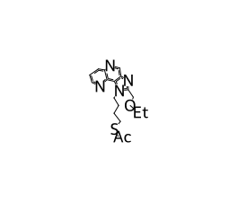 CCOCc1nc2cnc3cccnc3c2n1CCCCSC(C)=O